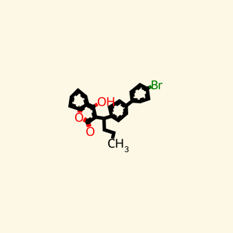 CCCC(c1ccc(-c2ccc(Br)cc2)cc1)c1c(O)c2ccccc2oc1=O